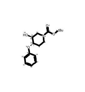 CC(C)(C)OC(=O)N1CC[C@H](Oc2ccccc2)[C@@H](O)C1